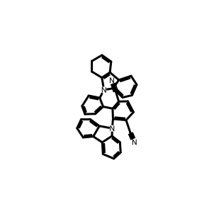 N#Cc1ccc(C#N)c(-n2c3ccccc3c3ccccc32)c1-c1ccccc1-n1c2c(c3ccccc31)C=CCC2